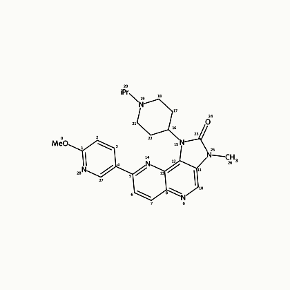 COc1ccc(-c2ccc3ncc4c(c3n2)n(C2CCN(C(C)C)CC2)c(=O)n4C)cn1